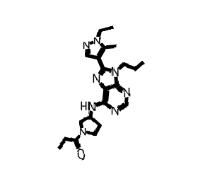 CCCn1c(-c2cnn(CC)c2C)nc2c(NC3CCN(C(=O)CC)C3)ncnc21